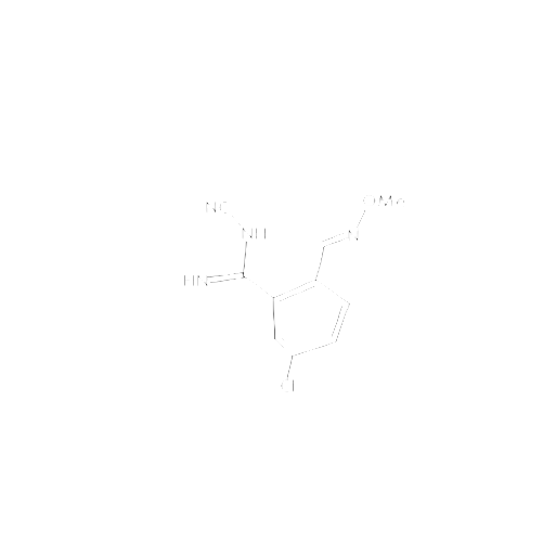 CON=Cc1ccc(Cl)cc1C(=N)NC#N